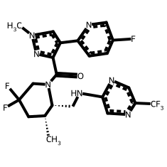 C[C@@H]1CC(F)(F)CN(C(=O)c2nn(C)cc2-c2ccc(F)cn2)[C@@H]1CNc1cnc(C(F)(F)F)cn1